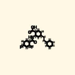 O=C(Nc1cc(CCc2ccccc2)ccc1C(=O)O)c1ccc(F)cc1F